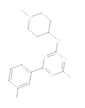 CN1CCC(Nc2nc(-c3cccc(Cl)c3)nc(C(Cl)(Cl)Cl)n2)CC1